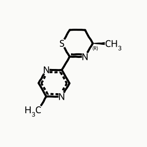 Cc1cnc(C2=N[C@H](C)CCS2)cn1